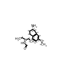 CCN(CC)NC=O.COc1ccc2c(c1)C[C@@H](N)CC2